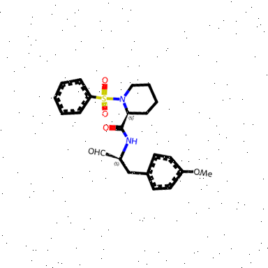 COc1ccc(C[C@@H](C=O)NC(=O)[C@@H]2CCCCN2S(=O)(=O)c2ccccc2)cc1